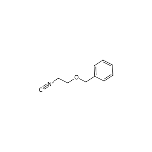 [C-]#[N+]CCOCc1ccccc1